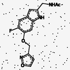 CC(=O)NCc1cc2cc(F)c(OCc3ccon3)cc2[nH]1